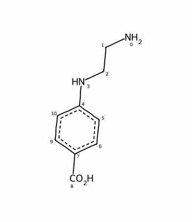 NCCNc1ccc(C(=O)O)cc1